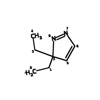 [CH2]CC1(CC)C=CN=N1